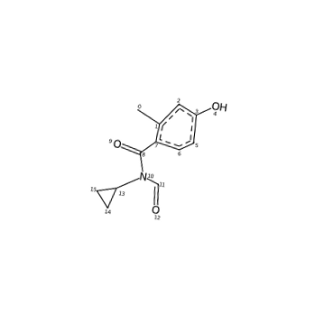 Cc1cc(O)ccc1C(=O)N(C=O)C1CC1